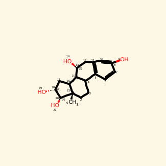 C[C@]12CCC3c4ccc(O)cc4C[C@H](O)C3C1C[C@@H](O)[C@@H]2O